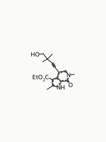 CCOC(=O)c1c(C)[nH]c2c(=O)n(C)cc(C#CC(C)(C)CO)c12